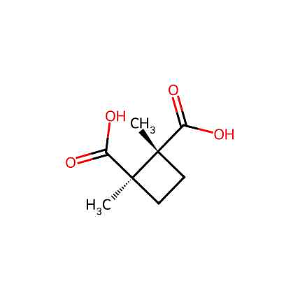 C[C@@]1(C(=O)O)CC[C@@]1(C)C(=O)O